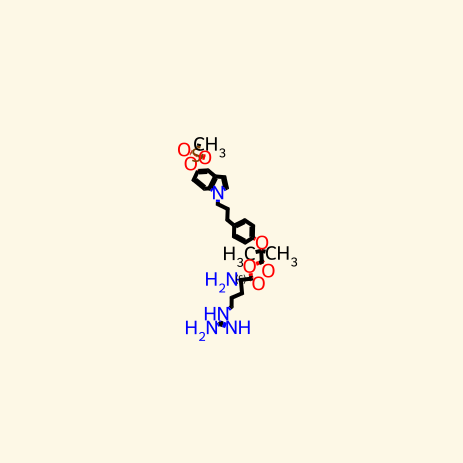 CC(C)(Oc1ccc(CCCn2ccc3cc(OS(C)(=O)=O)ccc32)cc1)C(=O)OC(=O)[C@@H](N)CCCNC(=N)N